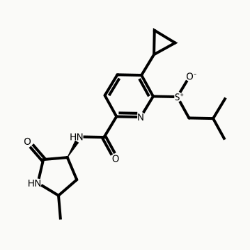 CC(C)C[S+]([O-])c1nc(C(=O)N[C@H]2CC(C)NC2=O)ccc1C1CC1